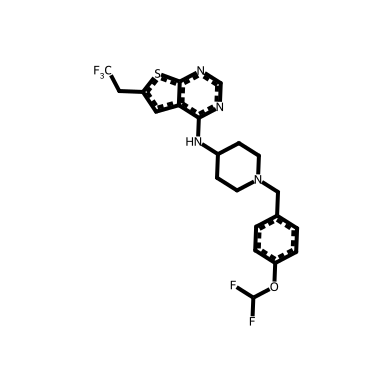 FC(F)Oc1ccc(CN2CCC(Nc3ncnc4sc(CC(F)(F)F)cc34)CC2)cc1